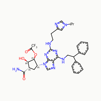 CC(C)n1cnc(CCNc2nc(NCC(c3ccccc3)c3ccccc3)c3ncn([C@@H]4C[C@H](C(N)=O)[C@@H](O)[C@H]4OC(=O)C(F)(F)F)c3n2)c1